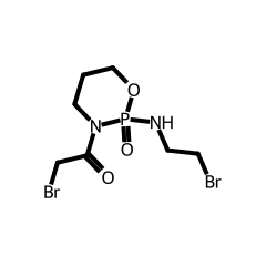 O=C(CBr)N1CCCOP1(=O)NCCBr